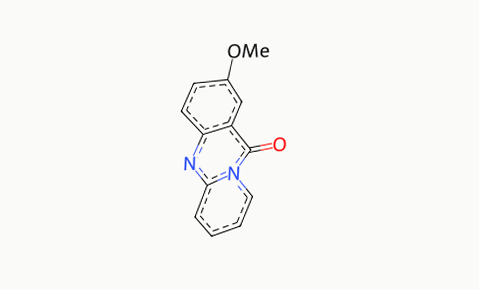 COc1ccc2nc3ccccn3c(=O)c2c1